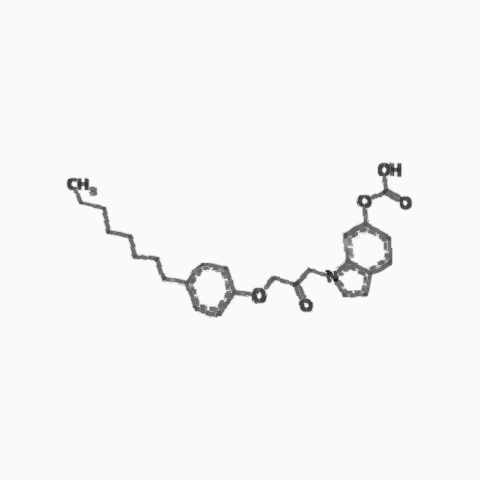 CCCCCCCCc1ccc(OCC(=O)Cn2ccc3ccc(OC(=O)O)cc32)cc1